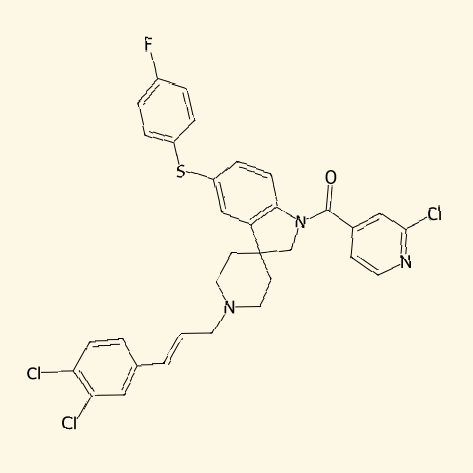 O=C(c1ccnc(Cl)c1)N1CC2(CCN(CC=Cc3ccc(Cl)c(Cl)c3)CC2)c2cc(Sc3ccc(F)cc3)ccc21